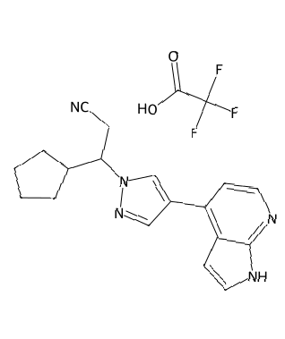 N#CCC(C1CCCC1)n1cc(-c2ccnc3[nH]ccc23)cn1.O=C(O)C(F)(F)F